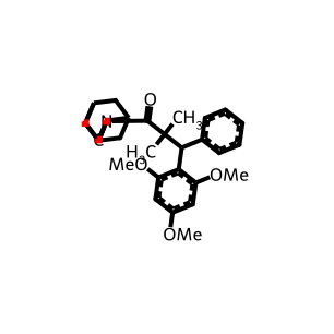 COc1cc(OC)c(C(c2ccccc2)C(C)(C)C(=O)N2CC3CC4CC5CC(C4)C532)c(OC)c1